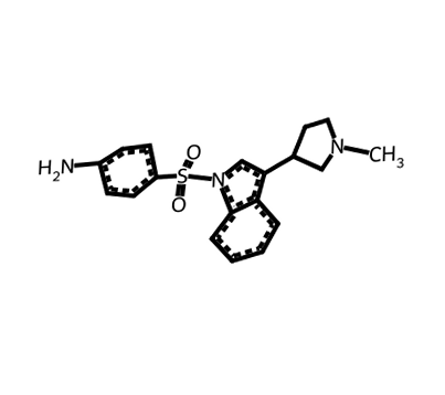 CN1CCC(c2cn(S(=O)(=O)c3ccc(N)cc3)c3ccccc23)C1